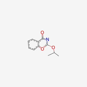 CC(C)Oc1nc(=O)c2ccccc2o1